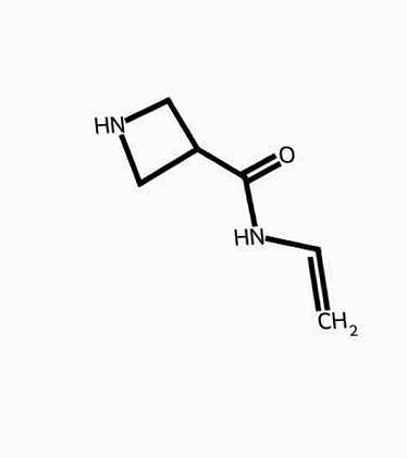 C=CNC(=O)C1CNC1